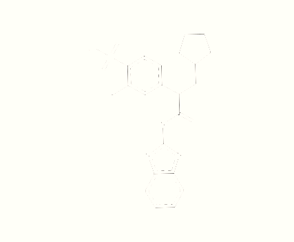 CS(=O)(=O)c1ccc(C(CC2CCCC2)C(=O)Nc2nc3ccccc3[nH]2)cc1Cl